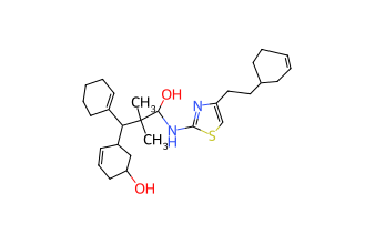 CC(C)(C(O)Nc1nc(CCC2CC=CCC2)cs1)C(C1=CCCCC1)C1C=CCC(O)C1